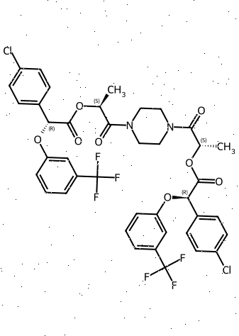 C[C@H](OC(=O)[C@H](Oc1cccc(C(F)(F)F)c1)c1ccc(Cl)cc1)C(=O)N1CCN(C(=O)[C@H](C)OC(=O)[C@H](Oc2cccc(C(F)(F)F)c2)c2ccc(Cl)cc2)CC1